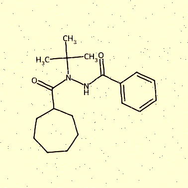 CC(C)(C)N(NC(=O)c1ccccc1)C(=O)C1CCCCCC1